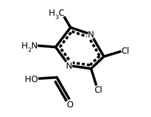 Cc1nc(Cl)c(Cl)nc1N.O=CO